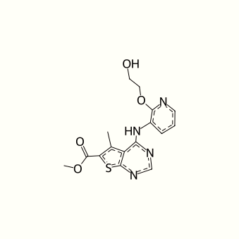 COC(=O)c1sc2ncnc(Nc3cccnc3OCCO)c2c1C